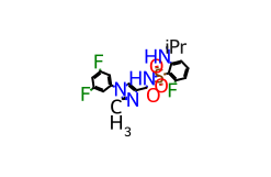 Cc1nc(C(=O)NS(=O)(=O)c2c(F)cccc2NC(C)C)cn1-c1cc(F)cc(F)c1